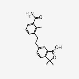 Cc1c(CCc2ccc3c(c2)B(O)OC3(C)C)cccc1C(N)=O